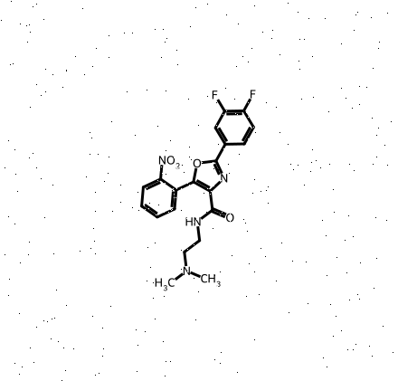 CN(C)CCNC(=O)c1nc(-c2ccc(F)c(F)c2)oc1-c1ccccc1[N+](=O)[O-]